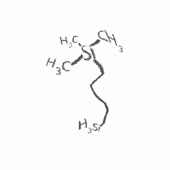 C[Si](C)(C)CCC[SiH3]